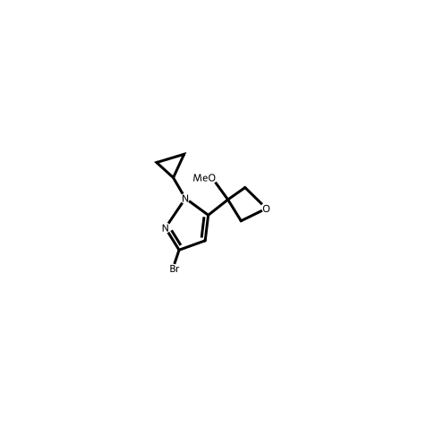 COC1(c2cc(Br)nn2C2CC2)COC1